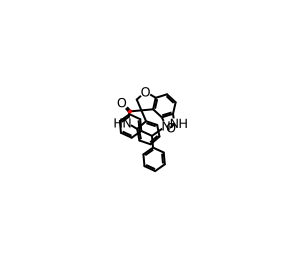 O=C1Nc2ccccc2C12COc1ccc3c(c12)N(C(c1ccccc1)c1ccccc1)ON3